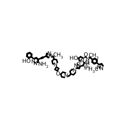 CC(C)[C@@H](C(=O)N1C[C@H](O)C[C@H]1C(=O)N[C@@H](C)c1ccc(-c2ccnn2C)cc1)c1cc(N2CCC(CN3CCC(OC4CC(N5CCC([C@@H](C)n6cc(C#Cc7cc(-c8ccccc8O)nnc7N)cn6)CC5)C4)CC3)CC2)no1